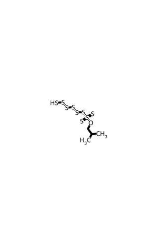 CC(C)COS(=S)(=S)SSSSSS